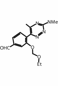 CCOCOc1cc(C=O)ccc1-c1nnc(NC)nc1C